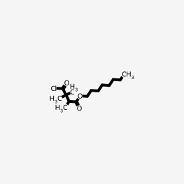 CCCCCCCCOC(=O)C(C)C(C)(C)C(=O)Cl